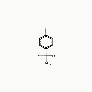 [CH2]CC(N)(CC)c1ccc(Cl)cc1